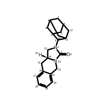 O=C1N(C2C3CC4CC(C3)CC2C4)C[C@H]2Cc3ccccc3CN12